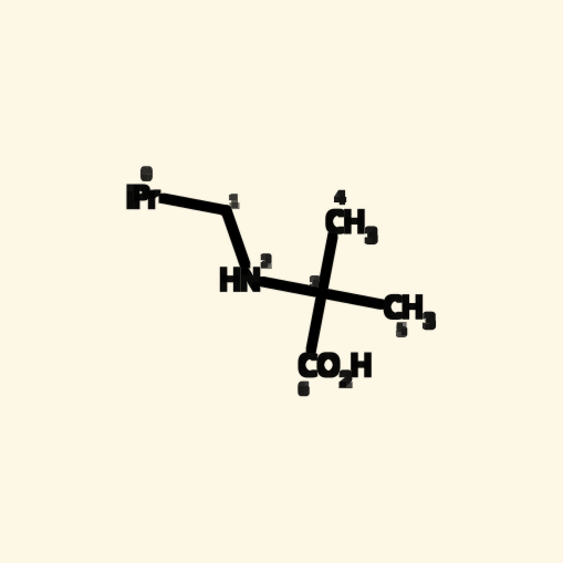 CC(C)CNC(C)(C)C(=O)O